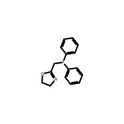 c1ccc(P(CC2=NCCO2)c2ccccc2)cc1